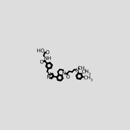 Cc1cccc(N(C)CCCC(=O)N2CCCc3c(-c4cnn(Cc5cccc(C(=O)NCC(=O)O)c5)c4)cccc32)c1C